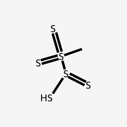 CS(=S)(=S)S(=S)S